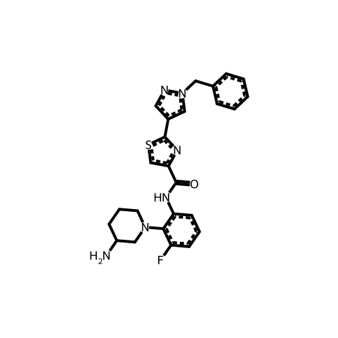 NC1CCCN(c2c(F)cccc2NC(=O)c2csc(-c3cnn(Cc4ccccc4)c3)n2)C1